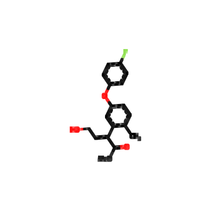 COC(=O)/C(=C/CO)c1cc(Oc2ccc(F)cc2)ccc1C